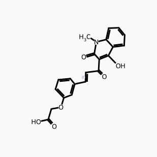 Cn1c(=O)c(C(=O)/C=C/c2cccc(OCC(=O)O)c2)c(O)c2ccccc21